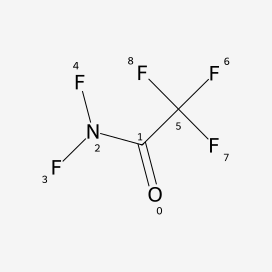 O=C(N(F)F)C(F)(F)F